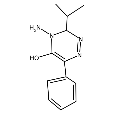 CC(C)C1N=NC(c2ccccc2)=C(O)N1N